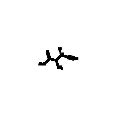 C#C[C@@H](CC)C(C)C(=O)NC